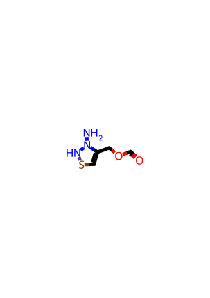 NN1NSC=C1COC=O